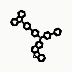 c1ccc(-c2ccc(N(c3ccc(-c4ccc(-n5c6ccccc6c6ccccc65)cc4)cc3)c3ccc4c(ccc5oc6ccccc6c54)c3)cc2)cc1